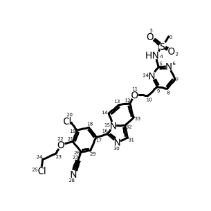 CS(=O)(=O)Nc1nccc(COc2ccn3c(-c4cc(Cl)c(OCCCl)c(C#N)c4)ncc3c2)n1